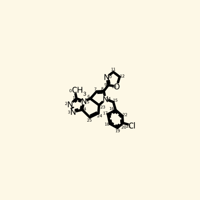 Cc1nnc2n1C1C=C(C3=NCCO3)N(Cc3cccc(Cl)c3)C1C=C2